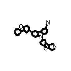 N#Cc1ccc2c(c1)c1cc(-c3ccc4oc5ccccc5c4c3)ccc1n2-c1ccc2oc3ccncc3c2c1